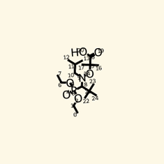 CCOP(=O)(OCC)C(N(CC(C)C)OC(C)(C)C(=O)O)C(C)(C)C